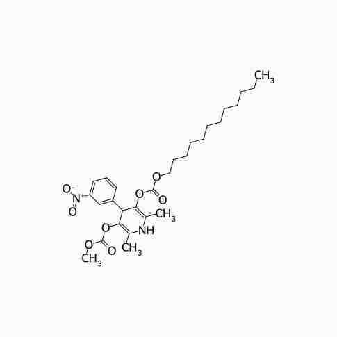 CCCCCCCCCCCCOC(=O)OC1=C(C)NC(C)=C(OC(=O)OC)C1c1cccc([N+](=O)[O-])c1